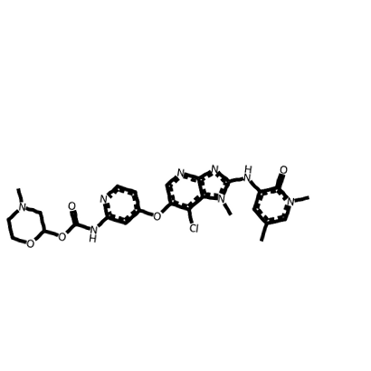 Cc1cc(Nc2nc3ncc(Oc4ccnc(NC(=O)OC5CN(C)CCO5)c4)c(Cl)c3n2C)c(=O)n(C)c1